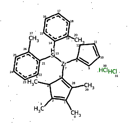 CC1=C(C)C(C)[C]([Zr]([C]2=CC=CC2)[SiH](c2ccccc2C)c2ccccc2C)=C1C.Cl.Cl